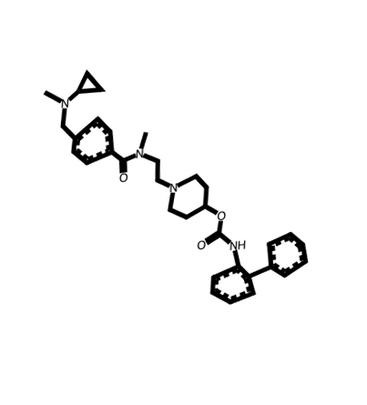 CN(CCN1CCC(OC(=O)Nc2ccccc2-c2ccccc2)CC1)C(=O)c1ccc(CN(C)C2CC2)cc1